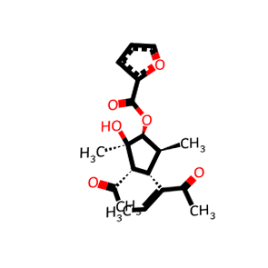 C/C=C(/C(C)=O)[C@H]1[C@H](C)[C@H](OC(=O)c2ccco2)[C@](C)(O)[C@H]1C(C)=O